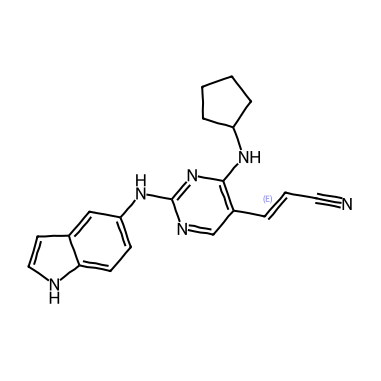 N#C/C=C/c1cnc(Nc2ccc3[nH]ccc3c2)nc1NC1CCCC1